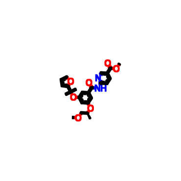 COC[C@H](C)Oc1cc(OC(C)(C)c2ccco2)cc(C(=O)Nc2ccc(C(=O)OC)cn2)c1